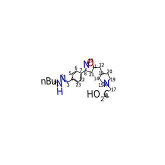 CCCCNN=Cc1ccc(C2=NOC(CC3CCN(CC(=O)O)CC3)C2)cc1